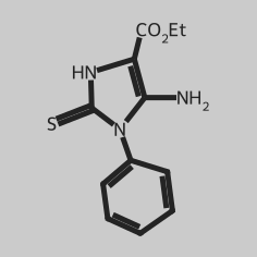 CCOC(=O)c1[nH]c(=S)n(-c2ccccc2)c1N